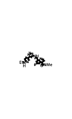 CCNc1ccc(-c2cc(NCCc3cc(F)cc4c(C(=O)NC)ccnc34)ncn2)cn1